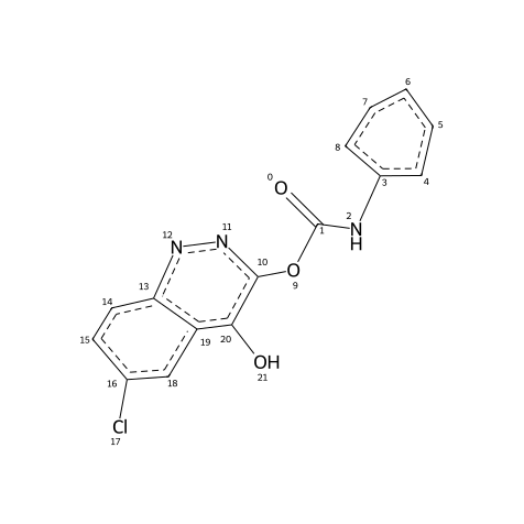 O=C(Nc1ccccc1)Oc1nnc2ccc(Cl)cc2c1O